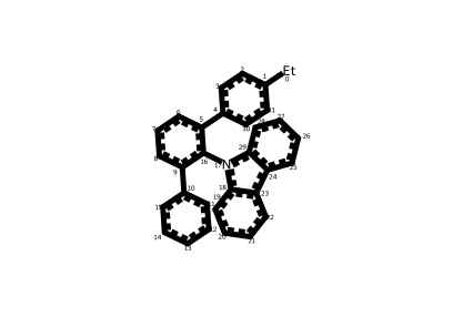 CCc1ccc(-c2cccc(-c3ccccc3)c2-n2c3ccccc3c3ccccc32)cc1